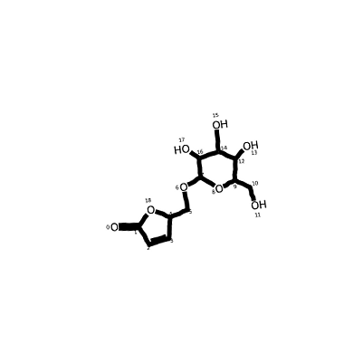 O=C1C=CC(COC2OC(CO)C(O)C(O)C2O)O1